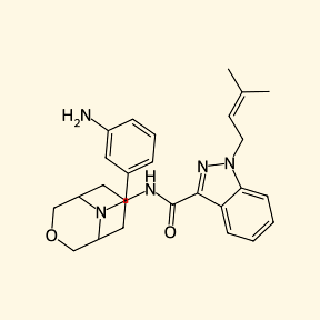 CC(C)=CCn1nc(C(=O)NC2CC3COCC(C2)N3Cc2cccc(N)c2)c2ccccc21